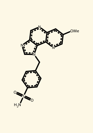 COc1cnc2c(c1)ncc1ncn(Cc3ccc(S(N)(=O)=O)cc3)c12